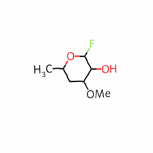 COC1CC(C)OC(F)C1O